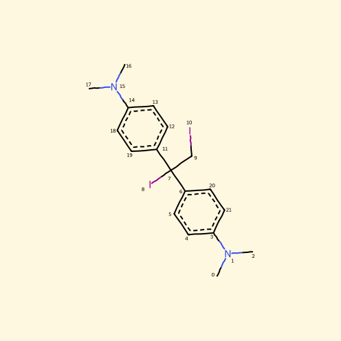 CN(C)c1ccc(C(I)(CI)c2ccc(N(C)C)cc2)cc1